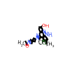 C=CC(=O)N1CC2(CC(n3nc(-c4ccc(CO)cc4)c(-c4c(Cl)c(C)cc5[nH]ncc45)c3C)C2)C1